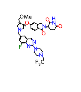 COC[C@@H]1CN(Cc2cc(F)c3nc(N4CCN(CC(F)(F)F)CC4)ncc3c2)C[C@H]1Oc1ccc2c(c1)CN([C@H]1CCC(=O)NC1=O)C2=O